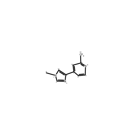 Cn1cnc(-c2ccnc(C(F)(F)F)c2)c1